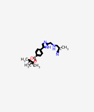 C[C@H](C#N)CNCc1ncc(-c2ccc(B3OC(C)(C)C(C)(C)O3)cc2)[nH]1